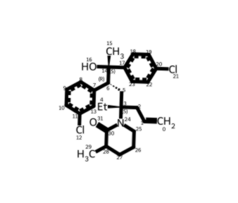 C=CC[C@@](CC)(C[C@H](c1cccc(Cl)c1)[C@](C)(O)c1ccc(Cl)cc1)N1CCCC(C)C1=O